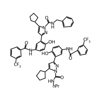 CCCNC(=O)n1nc(-c2cc(NC(=O)c3cccc(C(F)(F)F)c3)ccc2O)cc1C1CCCC1.O=C(Nc1ccc(O)c(-c2cc(C3CCCC3)n(C(=O)NCc3ccccc3)n2)c1)c1cccc(C(F)(F)F)c1